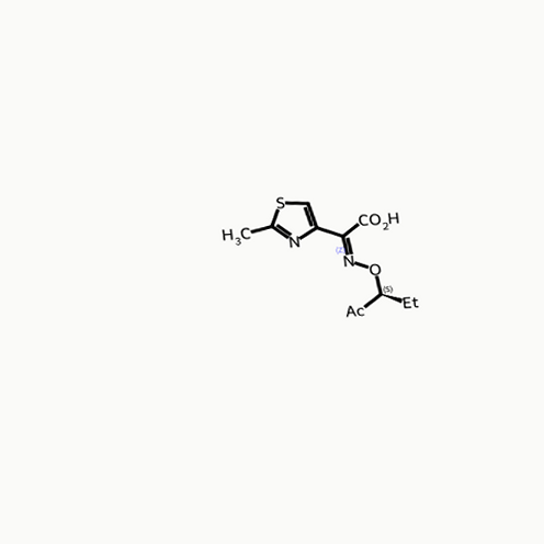 CC[C@H](O/N=C(\C(=O)O)c1csc(C)n1)C(C)=O